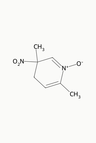 CC1=CCC(C)([N+](=O)[O-])C=[N+]1[O-]